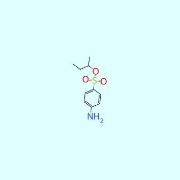 CCC(C)OS(=O)(=O)c1ccc(N)cc1